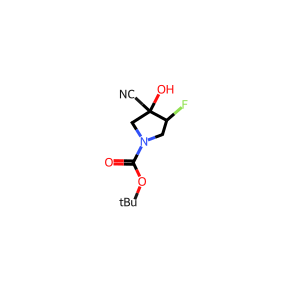 CC(C)(C)OC(=O)N1CC(F)C(O)(C#N)C1